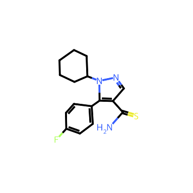 NC(=S)c1cnn(C2CCCCC2)c1-c1ccc(F)cc1